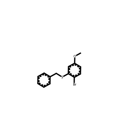 COc1ccc(Br)c(SCc2ccccc2)c1